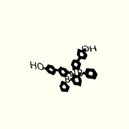 Oc1ccc(-c2ccc3c(c2)B(c2ccccc2)c2cccc4c2N3c2ccc(-c3ccc(O)cc3)cc2B4c2ccccc2)cc1